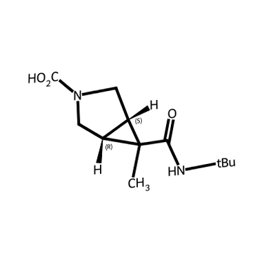 CC(C)(C)NC(=O)C1(C)[C@@H]2CN(C(=O)O)C[C@@H]21